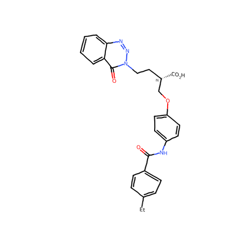 CCc1ccc(C(=O)Nc2ccc(OC[C@H](CCn3nnc4ccccc4c3=O)C(=O)O)cc2)cc1